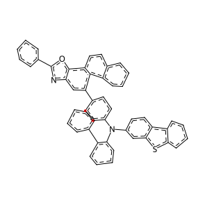 c1ccc(-c2nc3cc(-c4ccc(N(c5ccc6c(c5)sc5ccccc56)c5ccccc5-c5ccccc5)cc4)c4c5ccccc5ccc4c3o2)cc1